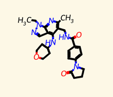 CCn1ncc2c(NC3CCOCC3)c(CNC(=O)c3ccc(N4CCCC4=O)cc3)c(C)nc21